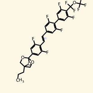 CCCC12COC(c3cc(F)c(/C=C/c4cc(F)c(-c5cc(F)c(C(F)(F)OC(F)(F)F)c(F)c5)c(F)c4)c(F)c3)(OC1)O2